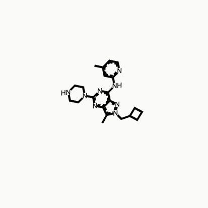 Cc1ccnc(Nc2nc(N3CCNCC3)nc3c(C)n(CC4CCC4)nc23)c1